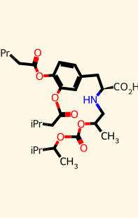 CC(C)CC(=O)Oc1ccc(C[C@H](NCC(C)OC(=O)OC(C)C(C)C)C(=O)O)cc1OC(=O)CC(C)C